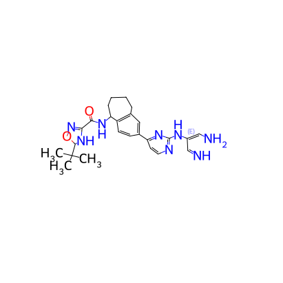 CC(C)(C)C1NC(C(=O)NC2CCCCc3cc(-c4ccnc(N/C(C=N)=C/N)n4)ccc32)=NO1